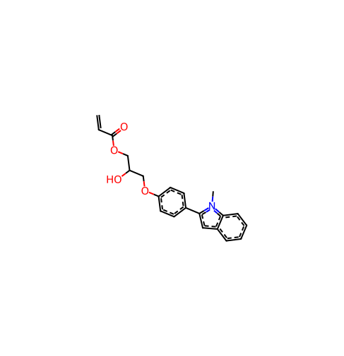 C=CC(=O)OCC(O)COc1ccc(-c2cc3ccccc3n2C)cc1